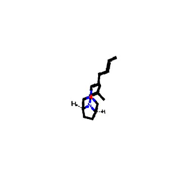 C/C=C/CCCN1C[C@H]2CC[C@@H](C1)N2CC(C)C